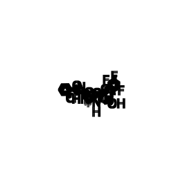 C[C@H](NC(=O)c1cc(-c2ccccc2Cl)on1)C(=O)N[C@@H](CC(=O)O)C(=O)COc1c(F)c(F)cc(F)c1F